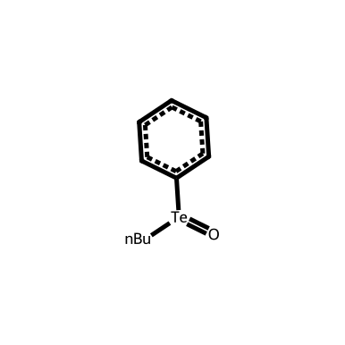 CCCC[Te](=O)c1ccccc1